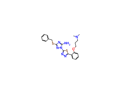 CN(C)CCCOc1ccccc1-c1nnc(-n2nc(SCc3ccccc3)nc2N)s1